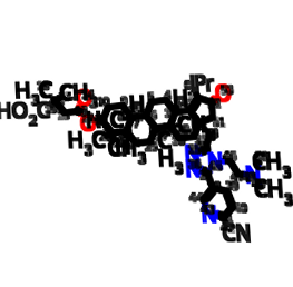 CC(C)C1=C2[C@H]3CC[C@@H]4[C@@]5(C)CC[C@H](OC(=O)CC(C)(C)C(=O)O)C(C)(C)[C@@H]5CC[C@@]4(C)[C@]3(C)CC[C@@]2(Cc2nnc(-c3ccc(C#N)nc3)n2CCN(C)C)CC1=O